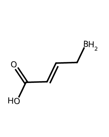 BCC=CC(=O)O